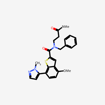 CNC(=O)CCN(Cc1ccccc1)C(=O)c1cc2c(OC)ccc(-c3ccnn3C)c2s1